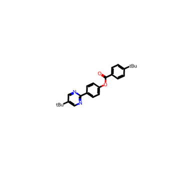 CC(C)(C)c1ccc(C(=O)Oc2ccc(-c3ncc(C(C)(C)C)cn3)cc2)cc1